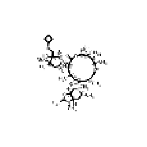 CC[C@H]1OC(=O)[C@H](C)[C@@H](O[C@H]2C[C@@](C)(OC)[C@](O)(CNC3CCC3)[C@H](C)O2)[C@H](C)[C@@H](O[C@@H]2O[C@H](C)C[C@H]3[C@H]2OC(C(F)(F)F)N3C)[C@](C)(O)C[C@@H](C)CN[C@H](C)[C@@H](O)[C@]1(C)O